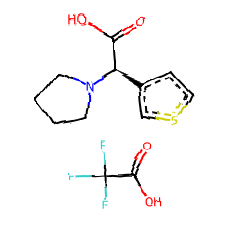 O=C(O)C(F)(F)F.O=C(O)[C@@H](c1ccsc1)N1CCCC1